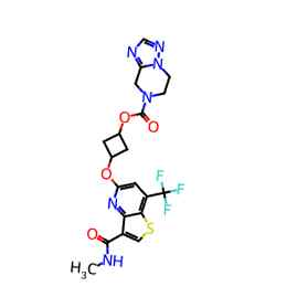 CNC(=O)c1csc2c(C(F)(F)F)cc(OC3CC(OC(=O)N4CCn5ncnc5C4)C3)nc12